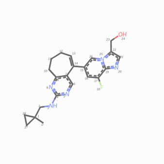 CC1(CNc2ncc3c(n2)CCCC=C3c2cc(F)c3ncc(CO)n3c2)CC1